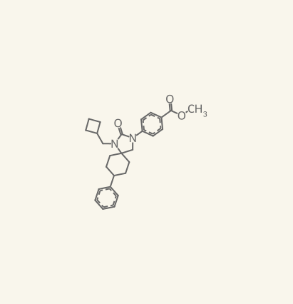 COC(=O)c1ccc(N2CC3(CCC(c4ccccc4)CC3)N(CC3CCC3)C2=O)cc1